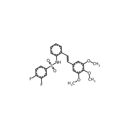 COc1cc(C=Cc2ccccc2NS(=O)(=O)c2ccc(F)c(F)c2)cc(OC)c1OC